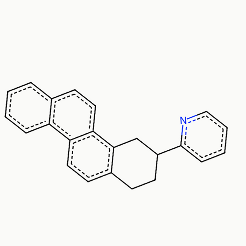 c1ccc(C2CCc3ccc4c(ccc5ccccc54)c3C2)nc1